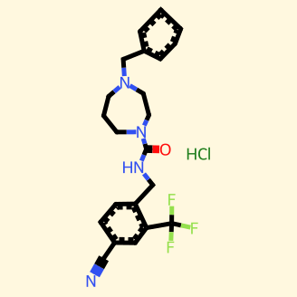 Cl.N#Cc1ccc(CNC(=O)N2CCCN(Cc3ccccc3)CC2)c(C(F)(F)F)c1